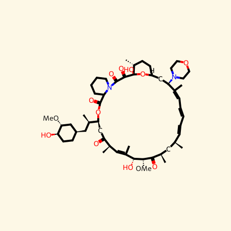 CO[C@@H]1C[C@@H](C[C@@H](C)[C@@H]2CC(=O)[C@H](C)/C=C(\C)[C@@H](O)[C@@H](OC)C(=O)[C@H](C)C[C@H](C)/C=C/C=C/C=C(/C)[C@H](N3CCOCC3)C[C@@H]3CC[C@@H](C)[C@@](O)(O3)C(=O)C(=O)N3CCCCC3C(=O)O2)CC[C@H]1O